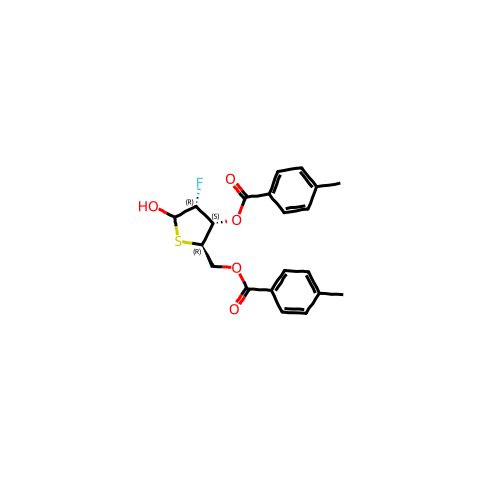 Cc1ccc(C(=O)OC[C@H]2SC(O)[C@H](F)[C@@H]2OC(=O)c2ccc(C)cc2)cc1